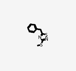 CSc1nsc(Cc2ccccc2)n1